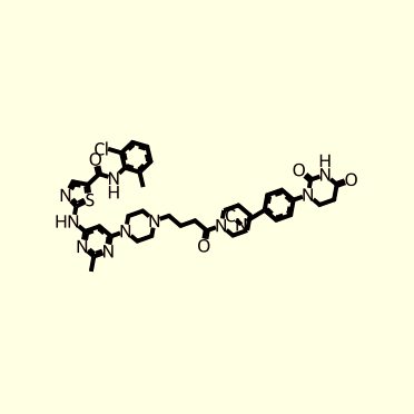 Cc1nc(Nc2ncc(C(=O)Nc3c(C)cccc3Cl)s2)cc(N2CCN(CCCC(=O)N3CC4CCC3CN4c3ccc(N4CCC(=O)NC4=O)cc3)CC2)n1